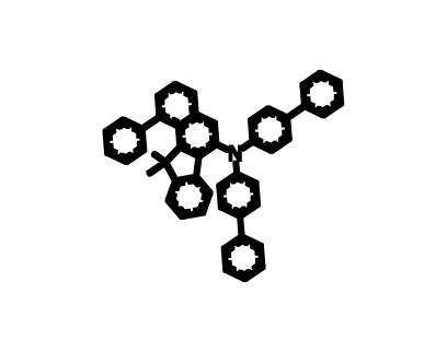 CC1(C)c2ccccc2-c2c(N(c3ccc(-c4ccccc4)cc3)c3ccc(-c4ccccc4)cc3)cc3cccc(-c4ccccc4)c3c21